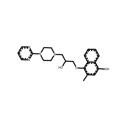 Cc1cc(O)c2ccccc2c1OCC(O)CN1CCN(c2ncccn2)CC1